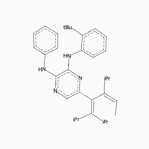 C/C=C(\C(=C(C(C)C)C(C)C)c1cnc(Nc2ccccc2)c(Nc2ccccc2C(C)(C)C)n1)C(C)C